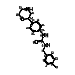 CC1=C=C=C(CNC(=O)Nc2ccc(C3CNCCO3)cc2)C=C1